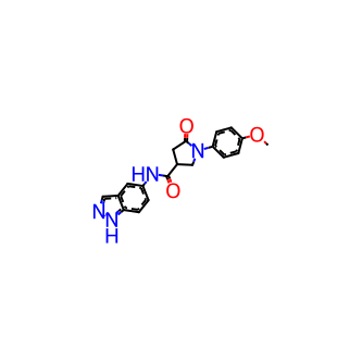 COc1ccc(N2CC(C(=O)Nc3ccc4[nH]ncc4c3)CC2=O)cc1